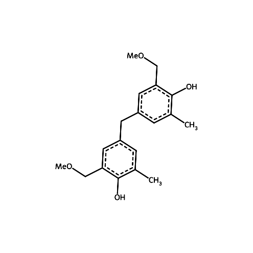 COCc1cc(Cc2cc(C)c(O)c(COC)c2)cc(C)c1O